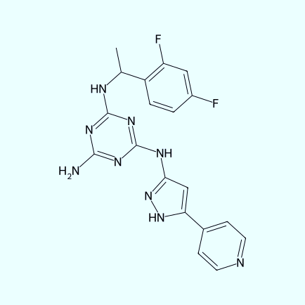 CC(Nc1nc(N)nc(Nc2cc(-c3ccncc3)[nH]n2)n1)c1ccc(F)cc1F